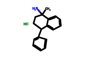 CC1(N)CCC(c2ccccc2)c2ccccc21.Cl